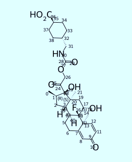 C[C@@H]1C[C@H]2[C@@H]3CCC4=CC(=O)C=C[C@]4(C)[C@@]3(F)[C@@H](O)C[C@]2(C)[C@@]1(O)C(=O)COC(=O)NC[C@H]1CC[C@H](C(=O)O)CC1